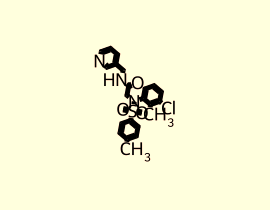 Cc1ccc(S(=O)(=O)N(CC(=O)NCc2cccnc2)c2cccc(Cl)c2C)cc1